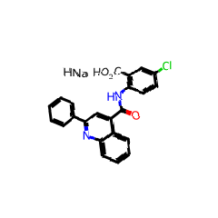 O=C(O)c1cc(Cl)ccc1NC(=O)c1cc(-c2ccccc2)nc2ccccc12.[NaH]